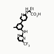 CC[C@H](Nc1ccc(-c2cc(C)cc(Nc3nccc(C(F)(F)F)n3)c2)cn1)C(=O)O